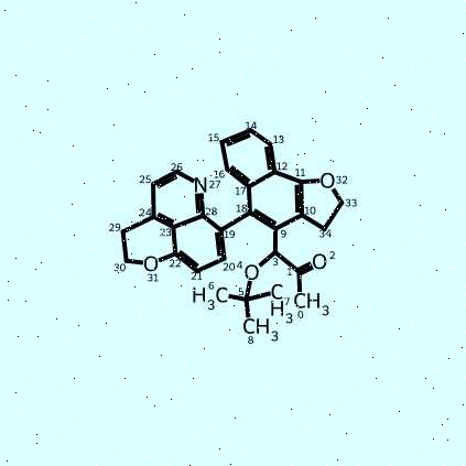 CC(=O)C(OC(C)(C)C)c1c2c(c3ccccc3c1-c1ccc3c4c(ccnc14)CCO3)OCC2